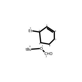 CC(C)(C)OC=O.CCC1C=CCCC1